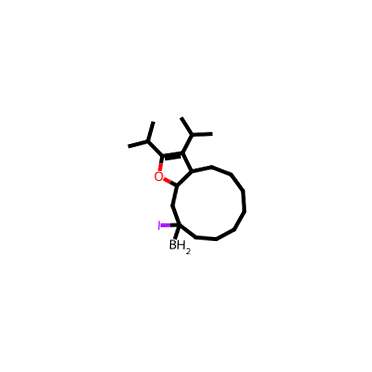 BC1(I)CCCCCCCC2C(C(C)C)=C(C(C)C)OC2C1